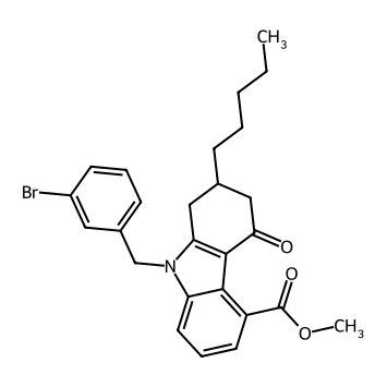 CCCCCC1CC(=O)c2c(n(Cc3cccc(Br)c3)c3cccc(C(=O)OC)c23)C1